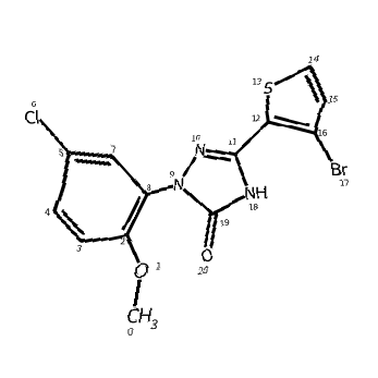 COc1ccc(Cl)cc1-n1nc(-c2sccc2Br)[nH]c1=O